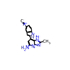 [C-]#[N+]c1ccc2[nH]c(-c3cc(N)nc4nc(C)[nH]c34)cc2c1